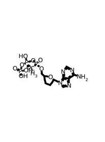 CP(=O)(OCC1CCC(n2cnc3c(N)ncnc32)O1)OP(=O)(O)OP(=O)(O)O